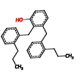 CCCc1ccccc1Cc1cccc(O)c1Cc1ccccc1CCC